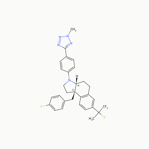 Cn1nnc(-c2ccc(N3CC[C@@]4(Cc5ccc(F)cc5)c5ccc(C(C)(F)C(F)(F)F)cc5CC[C@@H]34)cc2)n1